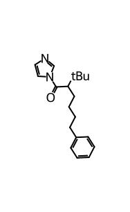 CC(C)(C)C(CCCCc1ccccc1)C(=O)n1ccnc1